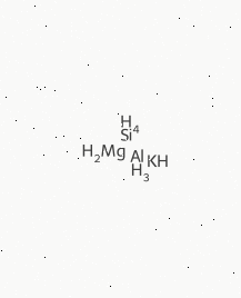 [AlH3].[KH].[MgH2].[SiH4]